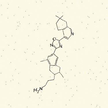 Cc1cc(-c2noc(-c3cncc4c3CCC(C)(C)C4)n2)cc2c1CC(CCCN)C(C)C2